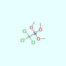 CO[Si](OC)(OC)C(Cl)(Cl)Cl